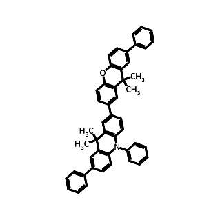 CC1(C)c2cc(-c3ccccc3)ccc2Oc2ccc(-c3ccc4c(c3)C(C)(C)c3cc(-c5ccccc5)ccc3N4c3ccccc3)cc21